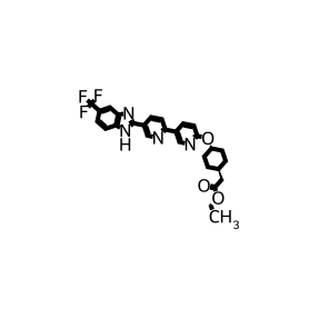 CCOC(=O)C[C@H]1CC[C@H](Oc2ccc(-c3ccc(-c4nc5cc(C(F)(F)F)ccc5[nH]4)cn3)cn2)CC1